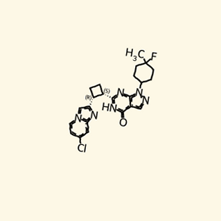 CC1(F)CCC(n2ncc3c(=O)[nH]c([C@H]4CC[C@H]4c4cn5ccc(Cl)cc5n4)nc32)CC1